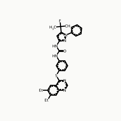 CCc1cc2ncnc(Sc3cccc(NC(=O)Nc4cc(C(C)(C)F)n(-c5ccccc5)n4)c3)c2cc1CC